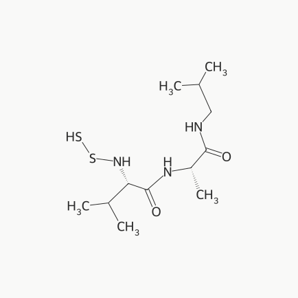 CC(C)CNC(=O)[C@H](C)NC(=O)[C@@H](NSS)C(C)C